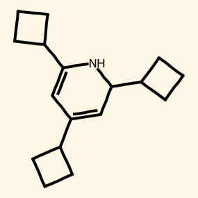 C1=C(C2CCC2)C=C(C2CCC2)N[C]1C1CCC1